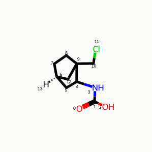 O=C(O)NC1C[C@H]2CCC1(CCl)C2